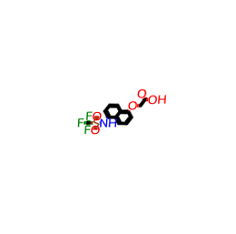 O=C(O)COc1cccc2c(NS(=O)(=O)C(F)(F)F)cccc12